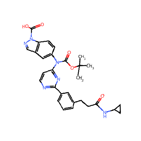 CC(C)(C)OC(=O)N(c1ccc2c(cnn2C(=O)O)c1)c1ccnc(-c2cccc(CCC(=O)NC3CC3)c2)n1